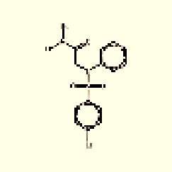 CCc1ccc(S(=O)(=O)N(CC(=O)N(CC)CC)c2ccccc2)cc1